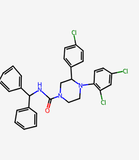 O=C(NC(c1ccccc1)c1ccccc1)N1CCN(c2ccc(Cl)cc2Cl)C(c2ccc(Cl)cc2)C1